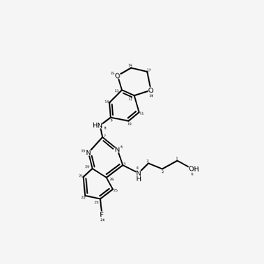 OCCCNc1nc(Nc2ccc3c(c2)OCCO3)nc2ccc(F)cc12